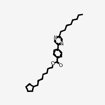 CCCCCCCCc1cnc(-c2ccc(C(=O)OCCCCCCCC3CCCC3)cc2)cn1